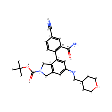 CC(C)(C)OC(=O)N1Cc2cc(NCC3CCOCC3)cc(-c3ccc(C#N)cc3C(N)=O)c2C1